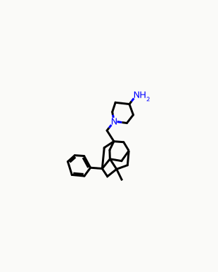 CC12CC3CC4(CN5CCC(N)CC5)CC(c5ccccc5)(C1)C2(C3)C4